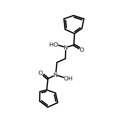 O=C(c1ccccc1)N(O)CCN(O)C(=O)c1ccccc1